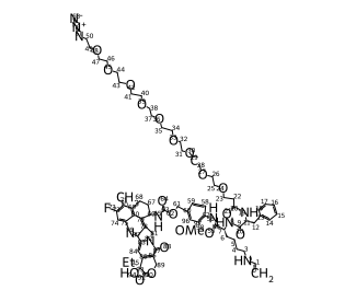 C=CNCCCC[C@H](NC(=O)[C@H](Cc1ccccc1)NC(=O)CCOCCOCCOCCOCCOCCOCCOCCOCCOCCN=[N+]=[N-])C(=O)Nc1ccc(COC(=O)N[C@H]2CCc3c(C)c(F)cc4nc5c(c2c34)Cn2c-5cc3c(c2=O)COC(=O)[C@]3(O)CC)cc1OC